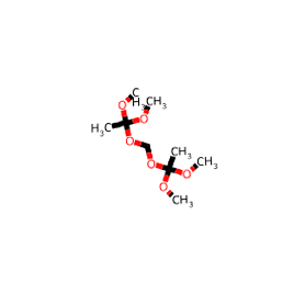 COC(C)(OC)OCOC(C)(OC)OC